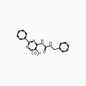 O=C(NCc1ccccc1)Nc1nc(-c2ccccc2)ncc1C(=O)O